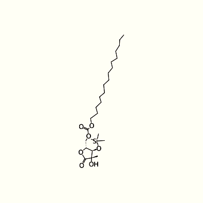 CCCCCCCCCCCCCCCCOC(=O)OC[C@H]1OC(=O)[C@@](C)(O)[C@@H]1O[Si](C)(C)C